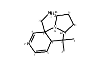 CC(C)(C)C1C=CN=CC1(CN)N1CCCC1